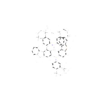 Cc1cc2c(cc1N1c3cc4c(c5c3B(c3c1ccc1sc6ccccc6c31)N(c1ccc3c(c1)C(C)(C)CCC3(C)C)c1cc3c(cc1-5)C(C)(C)CCC3(C)C)-c1ccccc1C4(C)C)C(C)(C)CCC2(C)C